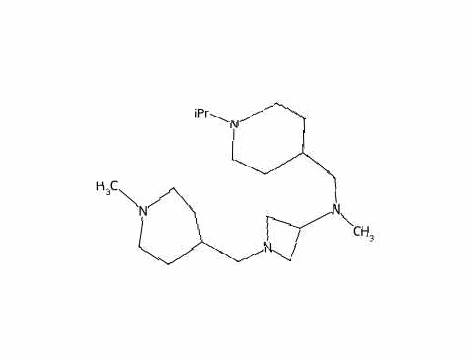 CC(C)N1CCC(CN(C)C2CN(CC3CCN(C)CC3)C2)CC1